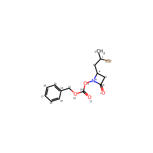 CC(Br)CC1CC(=O)N1OC(=O)OCc1ccccc1